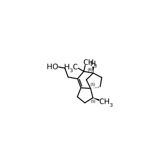 C[C@H]1CCC2=C(CCO)C(C)(C)[C@@H]3CC[C@@]21C3